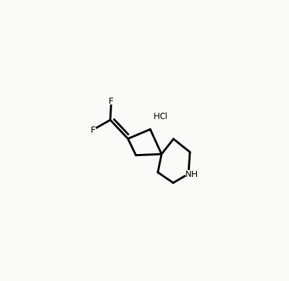 Cl.FC(F)=C1CC2(CCNCC2)C1